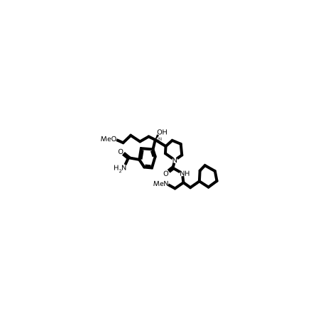 CNCC(CC1CCCCC1)NC(=O)N1CCCC([C@@](O)(CCCCOC)c2cccc(C(N)=O)c2)C1